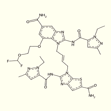 CCn1nc(C)cc1C(=O)Nc1nc2cc(C(N)=O)sc2n1C/C=C/Cn1c(NC(=O)c2cc(C)nn2CC)nc2cc(C(N)=O)cc(OCCOC(F)F)c21